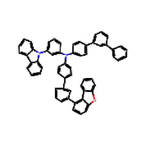 c1ccc(-c2cccc(-c3ccc(N(c4ccc(-c5cccc(-c6cccc7oc8ccccc8c67)c5)cc4)c4cccc(-n5c6ccccc6c6ccccc65)c4)cc3)c2)cc1